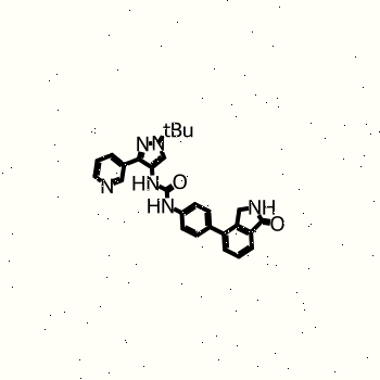 CC(C)(C)n1cc(NC(=O)Nc2ccc(-c3cccc4c3CNC4=O)cc2)c(-c2cccnc2)n1